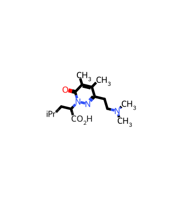 Cc1c(CCN(C)C)nn(C(CC(C)C)C(=O)O)c(=O)c1C